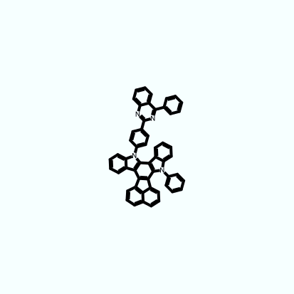 c1ccc(-c2nc(-c3ccc(-n4c5ccccc5c5c6c(c7c(c8ccccc8n7-c7ccccc7)c54)-c4cccc5cccc-6c45)cc3)nc3ccccc23)cc1